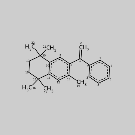 C=C(c1c[c]ccc1)c1cc2c(cc1C)C(C)(C)CCC2(C)C